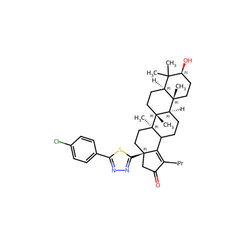 CC(C)C1=C2C3CC[C@@H]4[C@@]5(C)CC[C@H](O)C(C)(C)[C@@H]5CC[C@@]4(C)[C@]3(C)CC[C@@]2(c2nnc(-c3ccc(Cl)cc3)s2)CC1=O